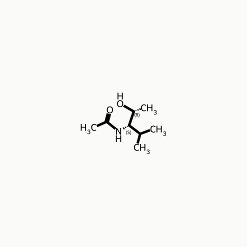 CC(=O)N[C@@H](C(C)C)[C@@H](C)O